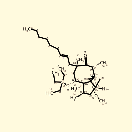 CCCCCC/C=C/C[C@@]1(C)C[C@@H](O[Si](CC)(CC)CC)[C@]2(C)[C@H](C)C[C@H]3C[C@]4(CC[C@@H](OC)C342)[C@@H](C)C1=O